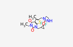 CCn1c(=O)c2c(C)c(CN3CCNC3=O)sc2n(CC2CC2(F)F)c1=O